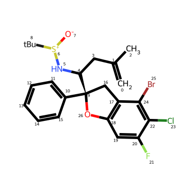 C=C(C)CC(N[S+]([O-])C(C)(C)C)[C@@]1(c2ccccc2)Cc2c(cc(F)c(Cl)c2Br)O1